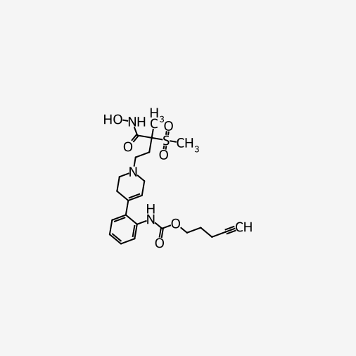 C#CCCCOC(=O)Nc1ccccc1C1=CCN(CCC(C)(C(=O)NO)S(C)(=O)=O)CC1